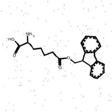 NC(CCCCC(=O)OCC1c2ccccc2-c2ccccc21)C(=O)O